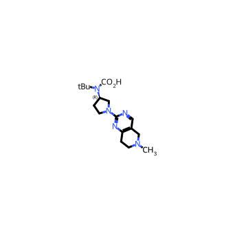 CN1CCc2nc(N3CC[C@@H](N(C(=O)O)C(C)(C)C)C3)ncc2C1